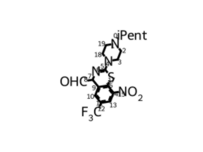 CCCC(C)N1CCN(C2=NC(C=O)c3cc(C(F)(F)F)cc([N+](=O)[O-])c3S2)CC1